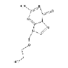 NC1=NC(=O)C2N=CN(COCCO)C2=N1